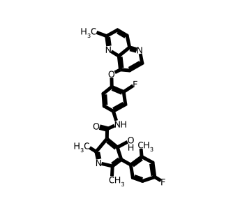 Cc1ccc2nccc(Oc3ccc(NC(=O)c4c(C)nc(C)c(-c5ccc(F)cc5C)c4O)cc3F)c2n1